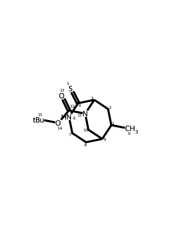 CC1CC2C(=S)NCCC1CN2C(=O)OC(C)(C)C